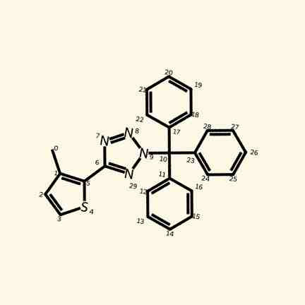 Cc1ccsc1-c1nnn(C(c2ccccc2)(c2ccccc2)c2ccccc2)n1